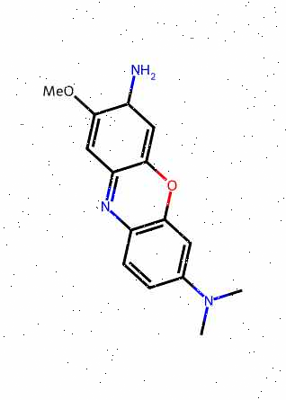 COC1=CC2=Nc3ccc(N(C)C)cc3OC2=CC1N